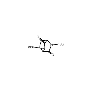 CCCCN1C(=O)C2SSC1C(=O)N2CCCC